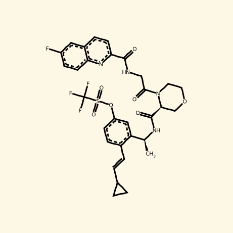 C[C@H](NC(=O)[C@@H]1COCCN1C(=O)CNC(=O)c1ccc2cc(F)ccc2n1)c1cc(OS(=O)(=O)C(F)(F)F)ccc1/C=C/C1CC1